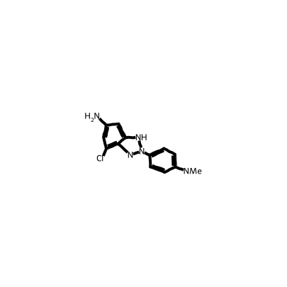 CNc1ccc(N2[N]c3c(Cl)cc(N)cc3N2)cc1